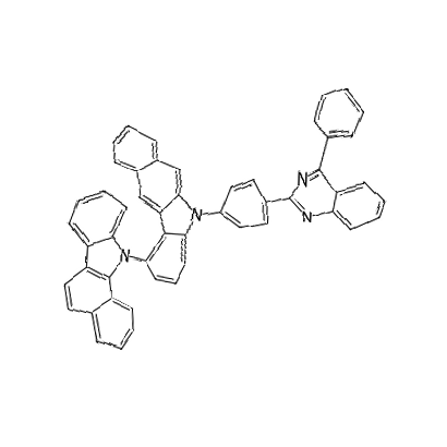 c1ccc(-c2nc(-c3ccc(-n4c5cc6ccccc6cc5c5c(-n6c7ccccc7c7ccc8ccccc8c76)cccc54)cc3)nc3ccccc23)cc1